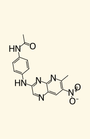 CC(=O)Nc1ccc(Nc2cnc3cc([N+](=O)[O-])c(C)nc3n2)cc1